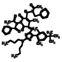 CCCCN(CCCC)c1nc(-c2c(C)cc(C(C)(C)C)cc2C)c(/C=C2\C(=O)N(N(C(C)=O)C(=O)c3ccccc3)C(=O)C(C(=O)N(Cc3ccccc3)C(C)=O)=C2C)s1